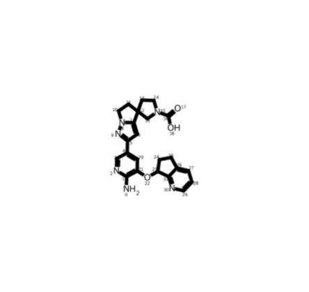 Nc1ncc(-c2cc3n(n2)CCC32CCN(C(=O)O)C2)cc1OC1CCc2cccnc21